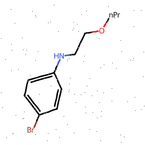 CCCOCCNc1ccc(Br)cc1